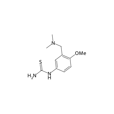 COc1ccc(NC(N)=S)cc1CN(C)C